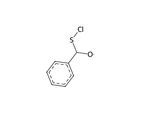 [O]C(SCl)c1ccccc1